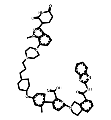 Cc1cc(OC2CCC(CCCN3CCN(c4cccc5c(C6CCC(=O)NC6=O)nn(C)c45)CC3)CC2)ccc1-c1ccc(N2CCc3cccc(C(=O)Nc4nc5ccccc5s4)c3C2)nc1C(=O)O